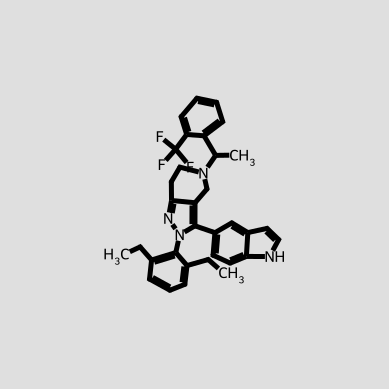 CCc1cccc(CC)c1-n1nc2c(c1-c1ccc3[nH]ccc3c1)CN(C(C)c1ccccc1C(F)(F)F)CC2